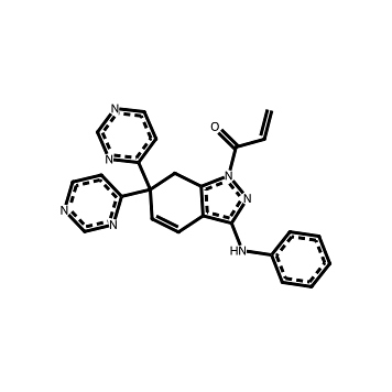 C=CC(=O)n1nc(Nc2ccccc2)c2c1CC(c1ccncn1)(c1ccncn1)C=C2